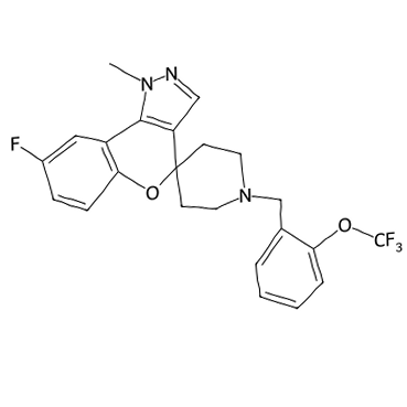 Cn1ncc2c1-c1cc(F)ccc1OC21CCN(Cc2ccccc2OC(F)(F)F)CC1